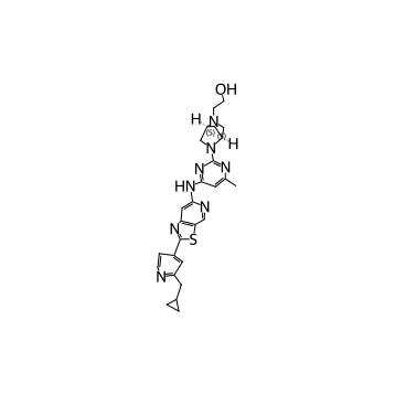 Cc1cc(Nc2cc3nc(-c4ccnc(CC5CC5)c4)sc3cn2)nc(N2C[C@@H]3C[C@H]2CN3CCO)n1